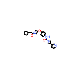 O=C(CC1CCCCC1)N1CC(Oc2ccc(NC(=O)N3CC(c4cccnc4)C3)cc2)C1